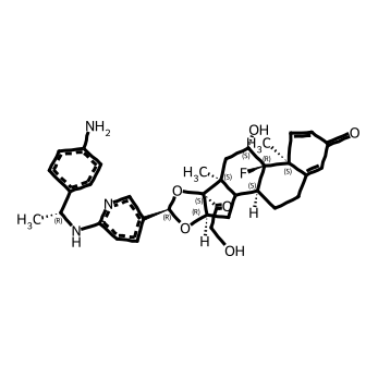 C[C@@H](Nc1ccc([C@@H]2O[C@@H]3CC4[C@@H]5CCC6=CC(=O)C=C[C@]6(C)[C@@]5(F)[C@@H](O)C[C@]4(C)[C@]3(C(=O)CO)O2)cn1)c1ccc(N)cc1